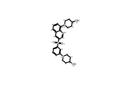 O=S(=O)(c1cccc(N2CCC(O)CC2)c1)c1cnc2c(N3CCC(O)CC3)cccc2c1